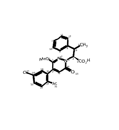 COc1nn([C@H](C(=O)O)C(C)c2ccccc2)c(=O)cc1-c1cc(Cl)ccc1C(C)=O